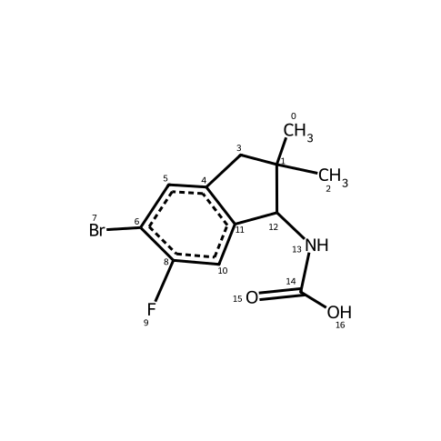 CC1(C)Cc2cc(Br)c(F)cc2C1NC(=O)O